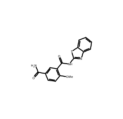 COc1ccc(C(N)=O)cc1C(=O)Nc1nc2ccccc2s1